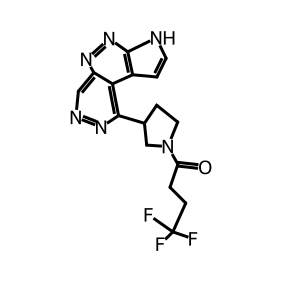 O=C(CCC(F)(F)F)N1CCC(c2nncc3nnc4[nH]ccc4c23)C1